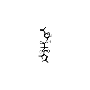 C=C(C)c1cc(NC(=O)C(C)(C)S(=O)(=O)c2cc(C)sc2C)no1